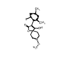 CON1CCC2(CC1)OC(=O)C(c1c(C)cc(C)cc1I)=C2O